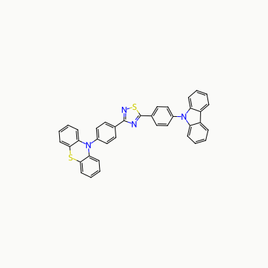 c1ccc2c(c1)Sc1ccccc1N2c1ccc(-c2nsc(-c3ccc(-n4c5ccccc5c5ccccc54)cc3)n2)cc1